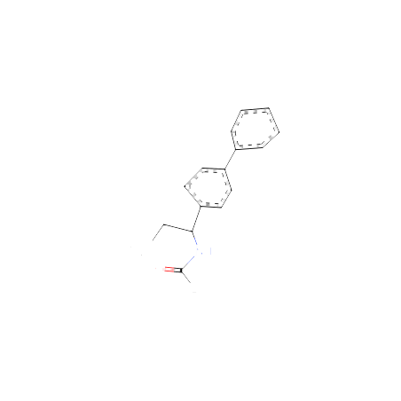 CCC(=O)NC(CC(=O)O)c1ccc(-c2ccccc2)cc1